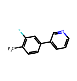 Fc1cc(-c2cccnc2)ccc1C(F)(F)F